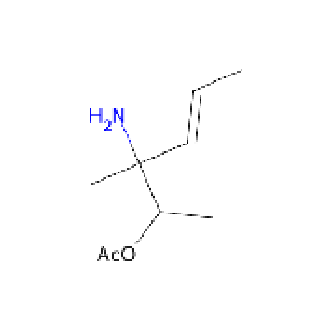 CC=CC(C)(N)C(C)OC(C)=O